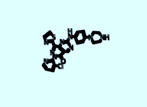 O=c1c2cnc(Nc3ccc(N4CCNCC4)cc3)nc2c(-c2nccs2)nn1-c1ncccc1Cl